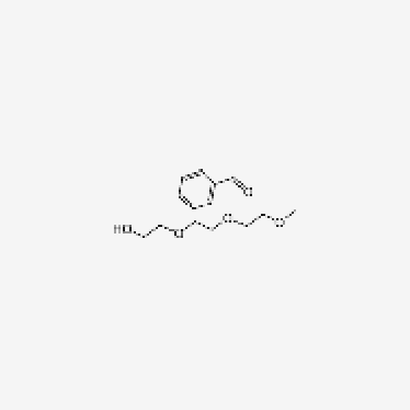 COCCOCCOCCO.O=Cc1ccccc1